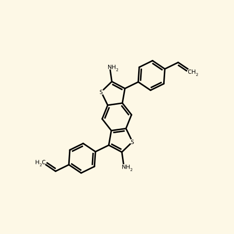 C=Cc1ccc(-c2c(N)sc3cc4c(-c5ccc(C=C)cc5)c(N)sc4cc23)cc1